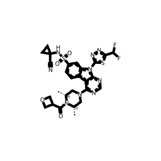 C[C@@H]1CN(c2ncnc3c2c2ccc(S(=O)(=O)NC4(C#N)CC4)cc2n3-c2nnc(C(F)F)s2)C[C@H](C)N1C(=O)C1COC1